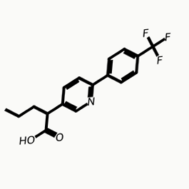 CCCC(C(=O)O)c1ccc(-c2ccc(C(F)(F)F)cc2)nc1